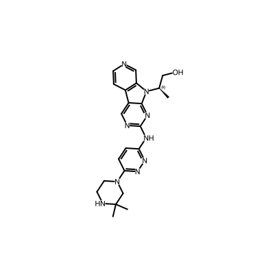 C[C@H](CO)n1c2cnccc2c2cnc(Nc3ccc(N4CCNC(C)(C)C4)nn3)nc21